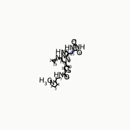 CN1CCCC1CCNC(=O)c1cc(-c2cc(NC3CC3)n3ncc(/C=C4\NC(=O)NC4=O)c3n2)cs1